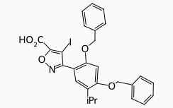 CC(C)c1cc(-c2noc(C(=O)O)c2I)c(OCc2ccccc2)cc1OCc1ccccc1